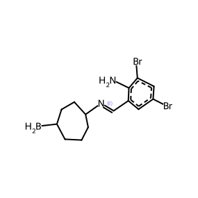 BC1CCCC(/N=C/c2cc(Br)cc(Br)c2N)CC1